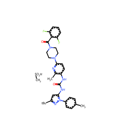 CS(=O)(=O)O.Cc1ccc(-n2nc(C(C)(C)C)cc2NC(=O)Nc2ccc(N3CCN(C(=O)c4c(F)cccc4F)CC3)nc2C)cc1